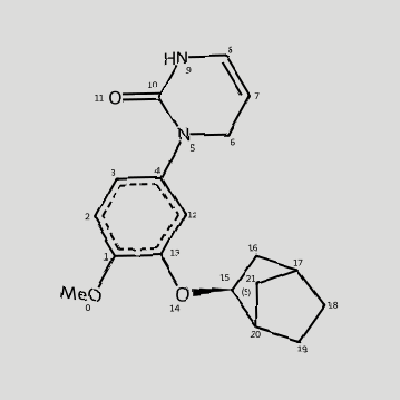 COc1ccc(N2CC=CNC2=O)cc1O[C@H]1CC2CCC1C2